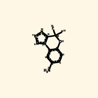 Nc1ccc2c(c1)-n1nnnc1C(F)(F)O2